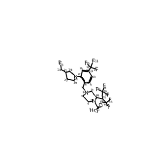 O=C(O)N1CCN(Cc2ccc(C(F)(F)F)cc2N2CCC(CF)C2)CC1C(C(F)(F)F)C(F)(F)F